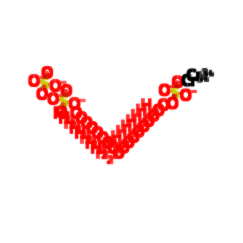 O.O.O.O.O.O.O.O.O.O.O.O.O.O.O.O.O.O.O=S(=O)([O-])[O-].O=S(=O)([O-])[O-].O=S(=O)([O-])[O-].[Cr+3].[Cr+3]